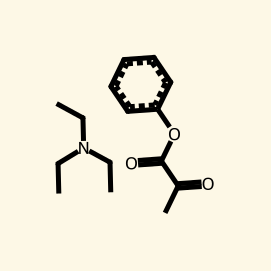 CC(=O)C(=O)Oc1ccccc1.CCN(CC)CC